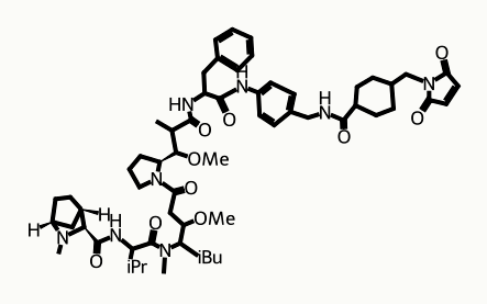 CCC(C)C(C(CC(=O)N1CCC[C@H]1C(OC)C(C)C(=O)NC(Cc1ccccc1)C(=O)Nc1ccc(CNC(=O)C2CCC(CN3C(=O)C=CC3=O)CC2)cc1)OC)N(C)C(=O)C(NC(=O)[C@@H]1[C@H]2CC[C@H](C2)N1C)C(C)C